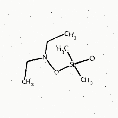 CCN(CC)O[Si](C)(C)[O]